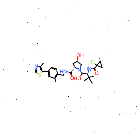 Cc1cc(-c2scnc2C)ccc1CNC(=O)[C@@H]1C[C@@H](O)CN1C(O)[C@@H](NC(=O)C1(F)CC1)C(C)(C)C